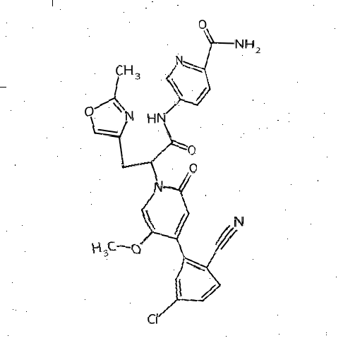 COc1cn(C(Cc2coc(C)n2)C(=O)Nc2ccc(C(N)=O)nc2)c(=O)cc1-c1cc(Cl)ccc1C#N